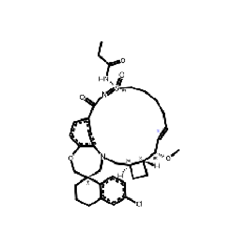 CCC(=O)N[S@@]1(=O)=NC(=O)c2ccc3c(c2)N(C[C@@H]2CC[C@H]2[C@@H](OC)/C=C/CCCC1)C[C@@]1(CCCc2cc(Cl)ccc21)CO3